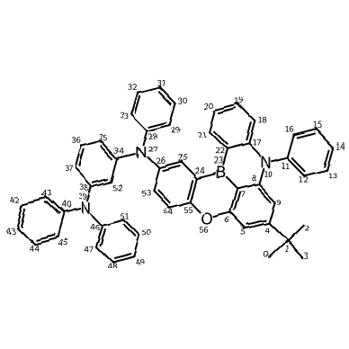 CC(C)(C)c1cc2c3c(c1)N(c1ccccc1)c1ccccc1B3c1cc(N(c3ccccc3)c3cccc(N(c4ccccc4)c4ccccc4)c3)ccc1O2